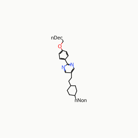 CCCCCCCCCCCOc1ccc(-c2ncc(CCC3CCC(CCCCCCCCC)CC3)cn2)cc1